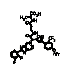 CCCOc1ccc(-c2cc(C(C(=O)NCCC(=O)NC(C)C(=O)O)n3cc4nc(-c5cccc(F)c5F)nc-4cn3)on2)c(C(F)(F)F)c1